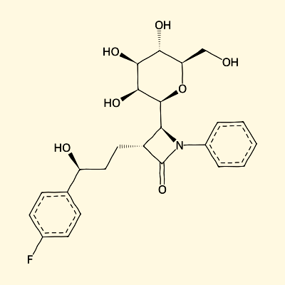 O=C1[C@H](CC[C@H](O)c2ccc(F)cc2)[C@@H]([C@@H]2O[C@H](CO)[C@@H](O)[C@H](O)[C@@H]2O)N1c1ccccc1